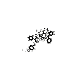 C=C(C)C(C(=O)OC(c1ccccc1)c1ccccc1)N1C(=O)C(NC(=O)C(C(=O)OCc2ccc(OC)cc2)c2ccccc2)C1S(=O)O